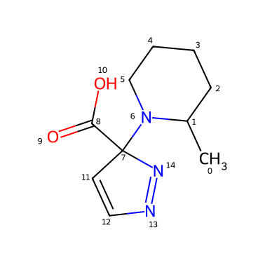 CC1CCCCN1C1(C(=O)O)C=CN=N1